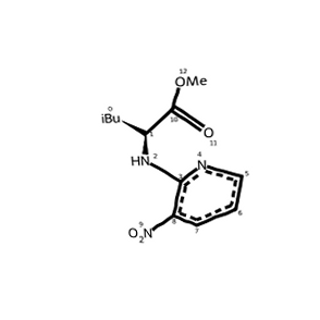 CC[C@H](C)[C@H](Nc1ncccc1[N+](=O)[O-])C(=O)OC